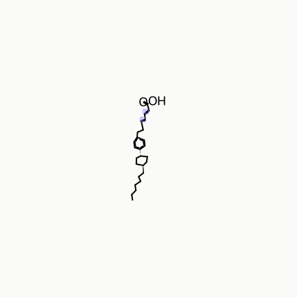 CCCCCCC[C@H]1CC[C@H](c2ccc(CC/C=C/C=C/C(=O)O)cc2)CC1